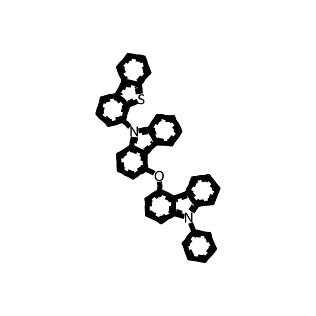 c1ccc(-n2c3ccccc3c3c(Oc4cccc5c4c4ccccc4n5-c4cccc5c4sc4ccccc45)cccc32)cc1